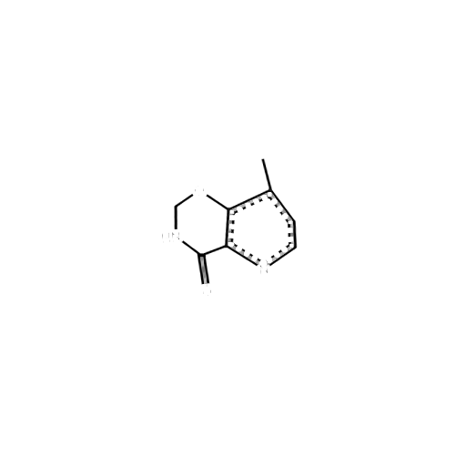 Cc1ccnc2c1OCNC2=O